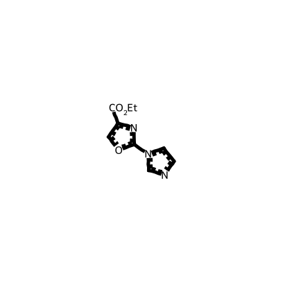 CCOC(=O)c1coc(-n2ccnc2)n1